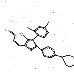 C=N/C=C\c1nc(-c2ccc(N3CCOCC3)nc2)n(-c2ccc(F)cc2Cl)c1C